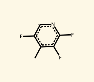 Cc1c(F)[c]nc(F)c1F